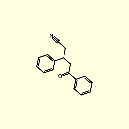 N#CCC(CC(=O)c1ccccc1)c1ccccc1